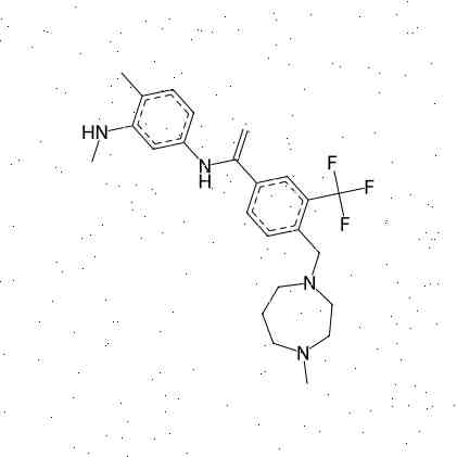 C=C(Nc1ccc(C)c(NC)c1)c1ccc(CN2CCCN(C)CC2)c(C(F)(F)F)c1